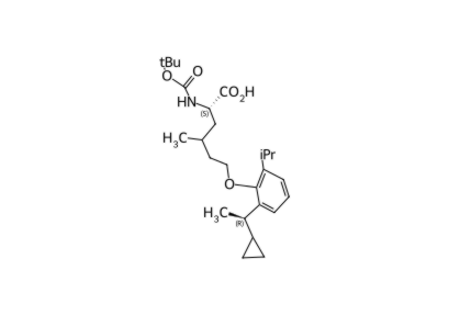 CC(CCOc1c(C(C)C)cccc1[C@H](C)C1CC1)C[C@H](NC(=O)OC(C)(C)C)C(=O)O